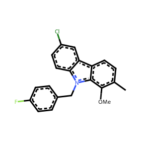 COc1c(C)ccc2c3cc(Cl)ccc3n(Cc3ccc(F)cc3)c12